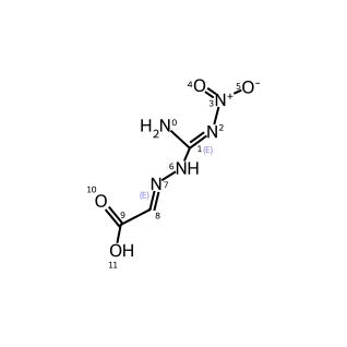 N/C(=N\[N+](=O)[O-])N/N=C/C(=O)O